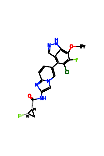 CC(C)Oc1c(F)c(Cl)c(-c2ccc3nc(NC(=O)[C@@H]4C[C@@H]4F)cn3c2)c2cn[nH]c12